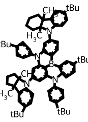 CC(C)(C)c1ccc(N2c3ccc(C(C)(C)C)cc3B3c4ccc(N5c6ccc(C(C)(C)C)cc6C6(C)CCCCC56C)cc4N(c4ccc(C(C)(C)C)cc4)c4cc(N5c6ccc(C(C)(C)C)cc6C6(C)CCCC56C)cc2c43)cc1